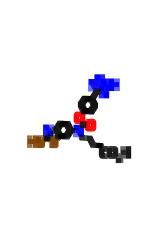 O=C(O)CCCCN(C(=O)Oc1ccc(-c2nn[nH]n2)cc1)c1ccc2nc(S)sc2c1